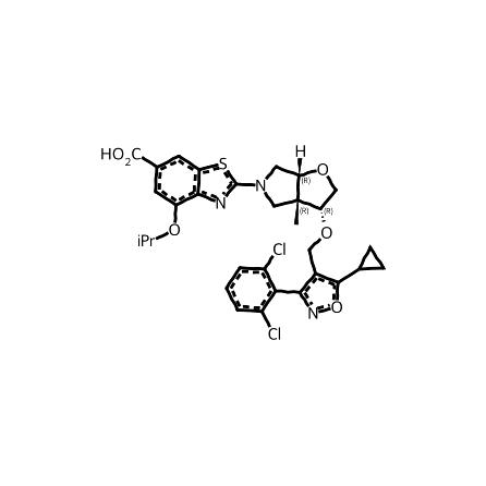 CC(C)Oc1cc(C(=O)O)cc2sc(N3C[C@@H]4OC[C@H](OCc5c(-c6c(Cl)cccc6Cl)noc5C5CC5)[C@]4(C)C3)nc12